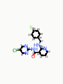 O=C(Nc1ncc(Cl)cn1)c1cccnc1NCc1ccc(F)cc1